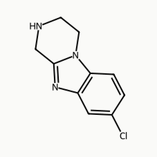 Clc1ccc2c(c1)nc1n2CCNC1